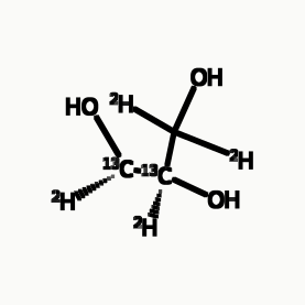 [2H][13C@H](O)[13C@]([2H])(O)C([2H])([2H])O